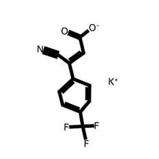 N#CC(=CC(=O)[O-])c1ccc(C(F)(F)F)cc1.[K+]